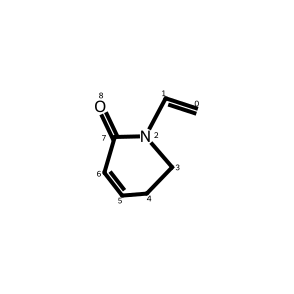 C=CN1CCC=CC1=O